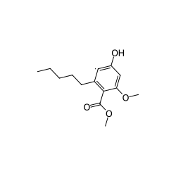 CCCCCc1[c]c(O)cc(OC)c1C(=O)OC